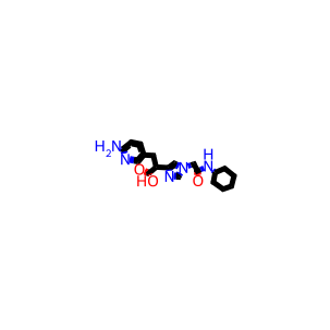 Nc1ccc(CC(C(=O)O)c2cn(CC(=O)NC3CCCCC3)cn2)cn1